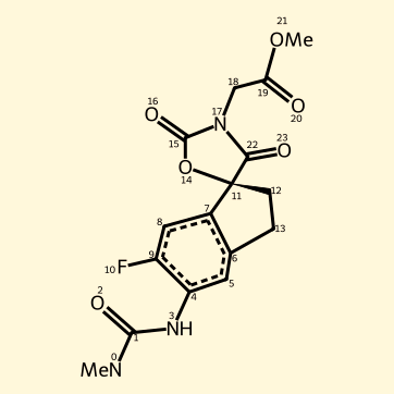 CNC(=O)Nc1cc2c(cc1F)[C@]1(CC2)OC(=O)N(CC(=O)OC)C1=O